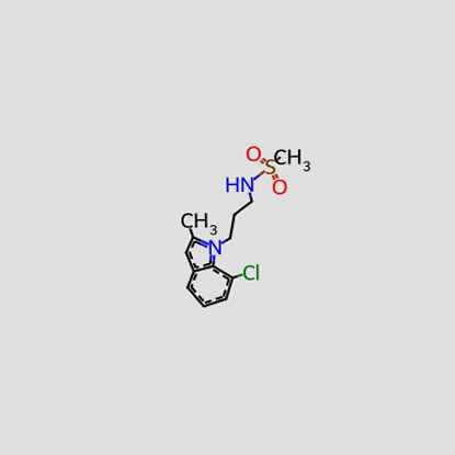 Cc1cc2cccc(Cl)c2n1CCCNS(C)(=O)=O